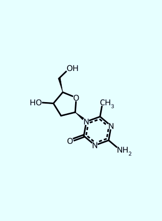 Cc1nc(N)nc(=O)n1[C@H]1CC(O)[C@@H](CO)O1